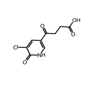 O=C(O)CCC(=O)c1c[nH]c(=O)c(Cl)c1